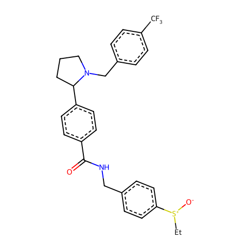 CC[S+]([O-])c1ccc(CNC(=O)c2ccc(C3CCCN3Cc3ccc(C(F)(F)F)cc3)cc2)cc1